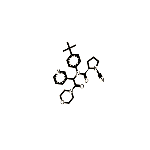 CC(C)(C)c1ccc(N(C(=O)[C@H]2CCCN2C#N)C(C(=O)N2CCOCC2)c2cccnc2)cc1